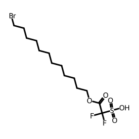 O=C(OCCCCCCCCCCCCBr)C(F)(F)S(=O)(=O)O